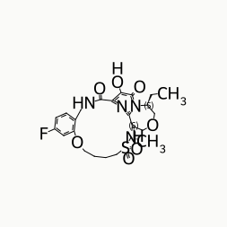 CC[C@H]1COC[C@@H]2c3nc(c(O)c(=O)n31)C(=O)NCc1ccc(F)cc1OCCCCS(=O)(=O)N2C